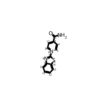 NC(=O)c1cc[n+](-c2nc3ccccc3s2)cc1